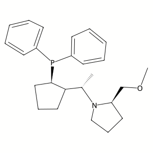 COC[C@H]1CCCN1[C@@H](C)C1CCC[C@H]1P(c1ccccc1)c1ccccc1